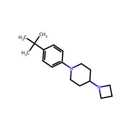 CC(C)(C)c1ccc(N2CCC(N3CCC3)CC2)cc1